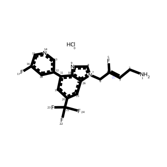 Cl.NC/C=C(\F)Cn1cnc2c(-c3cncc(F)c3)cc(C(F)(F)F)cc21